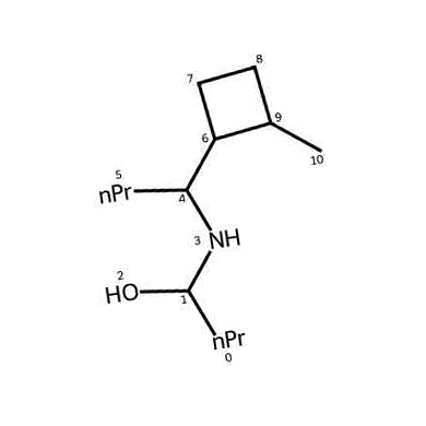 CCCC(O)NC(CCC)C1CCC1C